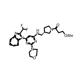 COCCC(=O)N1CC[C@H](CNc2cc(-n3c(C(F)F)nc4ccccc43)nc(N3CCOCC3)n2)C1